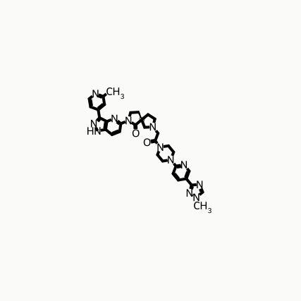 Cc1cc(-c2n[nH]c3ccc(N4CC[C@]5(CCN(CC(=O)N6CCN(c7ccc(-c8ncn(C)n8)cn7)CC6)C5)C4=O)nc23)ccn1